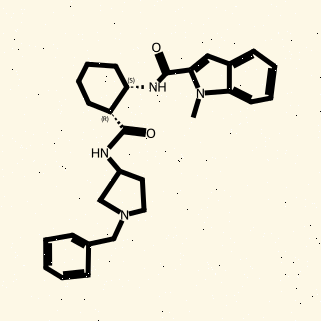 Cn1c(C(=O)N[C@H]2CCCC[C@H]2C(=O)NC2CCN(Cc3ccccc3)C2)cc2ccccc21